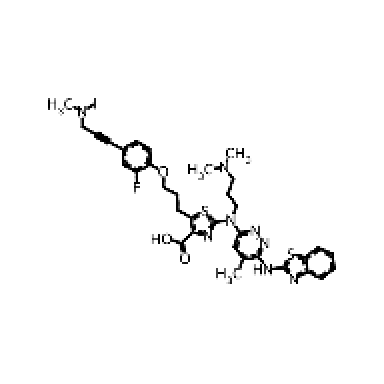 Cc1cc(N(CCCN(C)C)c2nc(C(=O)O)c(CCCOc3ccc(C#CCN(C)I)cc3F)s2)nnc1Nc1nc2ccccc2s1